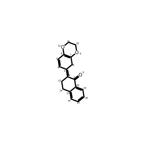 O=C1/C(=C2/C=CC3=C(C2)OCCO3)CCc2ccccc21